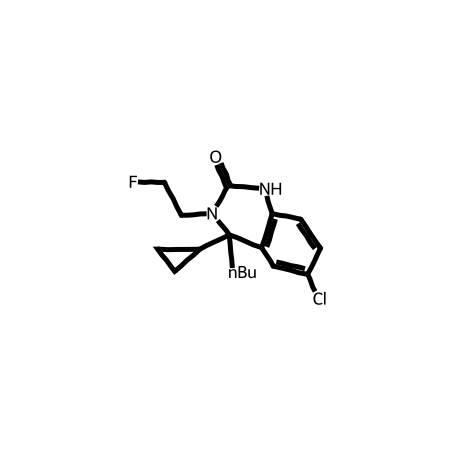 CCCCC1(C2CC2)c2cc(Cl)ccc2NC(=O)N1CCF